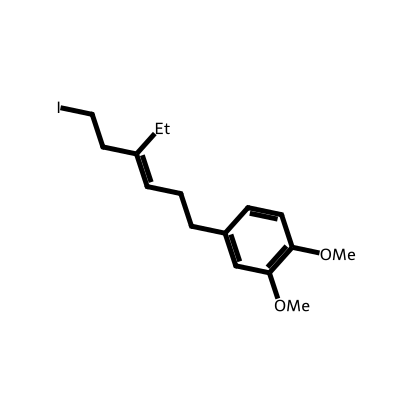 CC/C(=C\CCc1ccc(OC)c(OC)c1)CCI